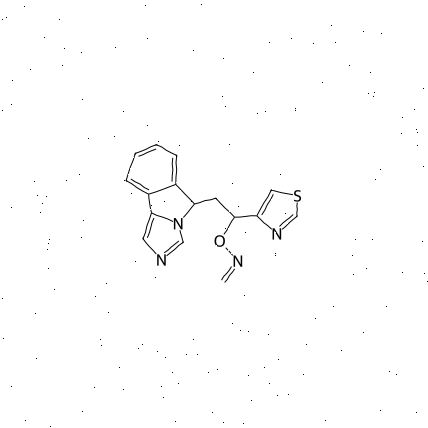 C=NOC(CC1c2ccccc2-c2cncn21)c1cscn1